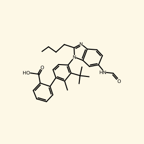 CCCCc1nc2ccc(NC=O)cc2n1-c1ccc(-c2ccccc2C(=O)O)c(C)c1C(C)(C)C